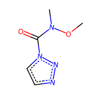 CON(C)C(=O)n1ccnn1